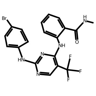 CNC(=O)c1ccccc1Nc1nc(Nc2ccc(Br)cc2)ncc1C(F)(F)F